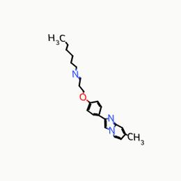 CCCCCCN=CCCOc1ccc(-c2cn3ccc(C)cc3n2)cc1